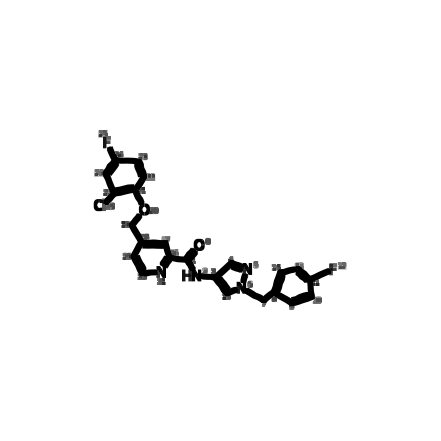 O=C(Nc1cnn(Cc2ccc(F)cc2)c1)c1cc(COc2ccc(F)cc2Cl)ccn1